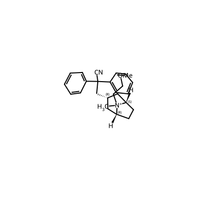 COCC[N+]1(C)[C@@H]2CC[C@H]1C[C@@H](CC(C#N)(c1ccccc1)c1ccccc1)C2